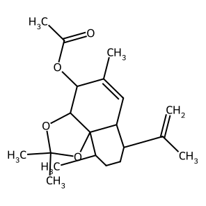 C=C(C)C1CCC(C)C23OC(C)(C)OC2C(OC(C)=O)C(C)=CC13